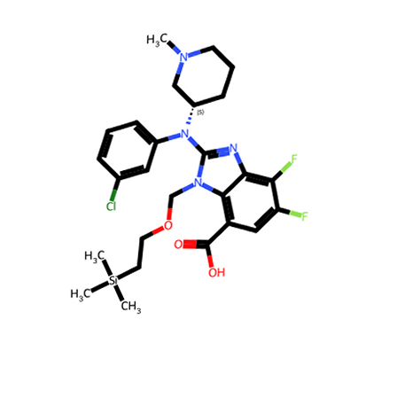 CN1CCC[C@H](N(c2cccc(Cl)c2)c2nc3c(F)c(F)cc(C(=O)O)c3n2COCC[Si](C)(C)C)C1